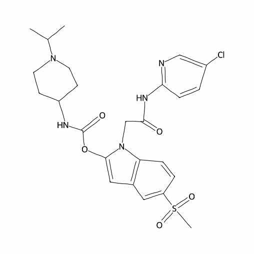 CC(C)N1CCC(NC(=O)Oc2cc3cc(S(C)(=O)=O)ccc3n2CC(=O)Nc2ccc(Cl)cn2)CC1